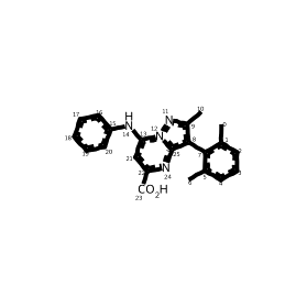 Cc1cccc(C)c1-c1c(C)nn2c(Nc3ccccc3)cc(C(=O)O)nc12